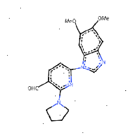 COc1cc2ncn(-c3ccc(C=O)c(N4CCCC4)n3)c2cc1OC